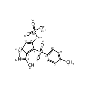 Cc1ccc(S(=O)(=O)C2=C3C(C#N)=NN=C3C=C2OS(=O)(=O)C(F)(F)F)cc1